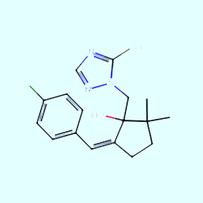 CC1(C)CC/C(=C/c2ccc(Cl)cc2)C1(O)Cn1ncnc1S